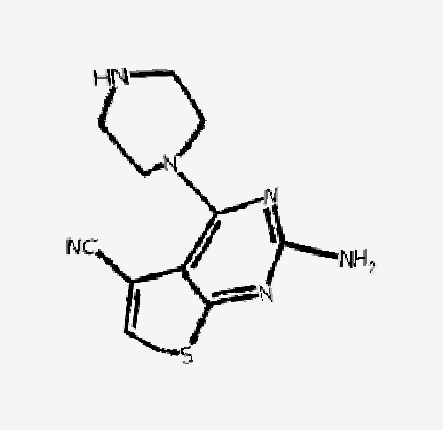 N#Cc1csc2nc(N)nc(N3CCNCC3)c12